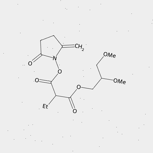 C=C1CCC(=O)N1OC(=O)C(CC)C(=O)OCC(COC)OC